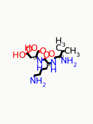 CC(C)[C@H](N)C(=O)N[C@@H](CCCCN)C(=O)N[C@@H](CC(=O)O)C(=O)O